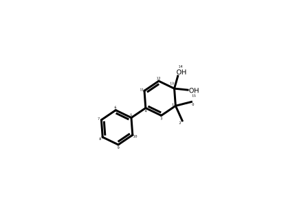 CC1(C)C=C(c2ccccc2)C=CC1(O)O